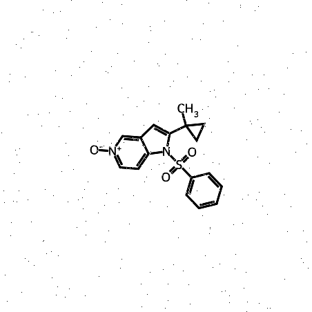 CC1(c2cc3c[n+]([O-])ccc3n2S(=O)(=O)c2ccccc2)CC1